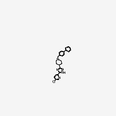 Clc1ccc(-c2nc(C3CCN(Cc4ccc(-c5[c]cccc5)cc4)CC3)n[nH]2)nc1